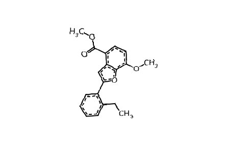 CCc1ccccc1-c1cc2c(C(=O)OC)ccc(OC)c2o1